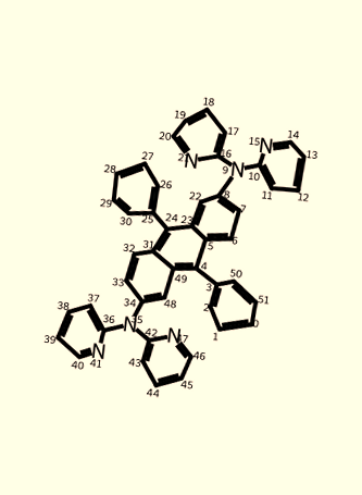 c1ccc(-c2c3ccc(N(c4ccccn4)c4ccccn4)cc3c(-c3ccccc3)c3ccc(N(c4ccccn4)c4ccccn4)cc23)cc1